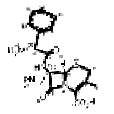 CC1=C(C(=O)O)N2C(=O)[C@@H](NC(=O)[C@H](N)c3ccccc3)[C@H]2SC1.[PbH2]